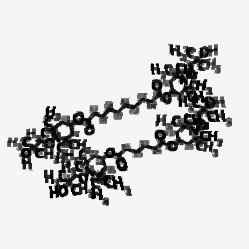 CC(C)(O)CON1C(C)(C)CC(OC(=O)CCCCC(=O)OC2CC(C)(C)N(OCC(C)(C)O)C(C)(C)C2)CC1(C)C.CC(C)(O)CON1C(C)(C)CC(OC(=O)CCCCCCCCC(=O)OC2CC(C)(C)N(OCC(C)(C)O)C(C)(C)C2)CC1(C)C